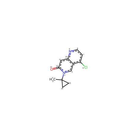 CC1(n2cc3c(Cl)ccnc3cc2=O)CC1